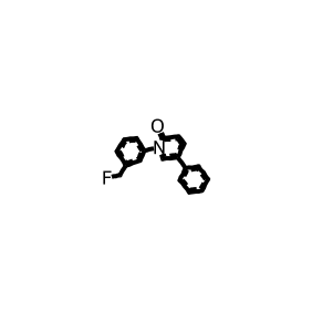 O=c1ccc(-c2ccccc2)cn1-c1cccc(CF)c1